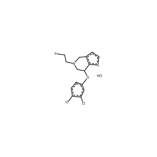 Cl.FCCN1Cc2ccsc2C(Oc2ccc(Cl)c(Cl)c2)C1